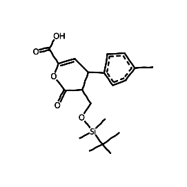 Cc1ccc(C2C=C(C(=O)O)OC(=O)C2CO[Si](C)(C)C(C)(C)C)cc1